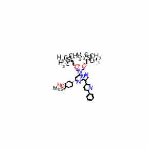 CSC[C@]1(O)CC[C@H](c2cc(N(COCC[Si](C)(C)C)COCC[Si](C)(C)C)n3ncc(-c4ccc(-c5ccccc5)nc4)c3n2)CC1